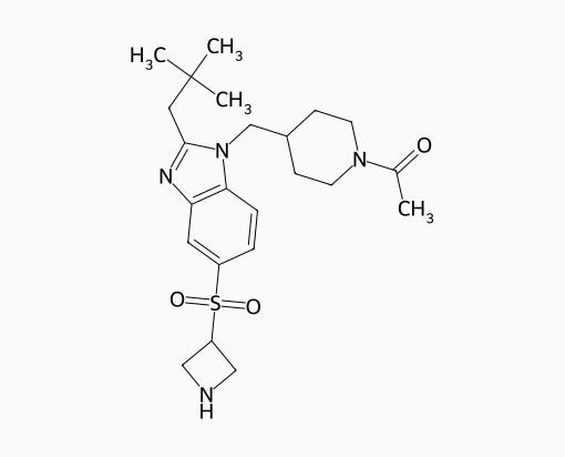 CC(=O)N1CCC(Cn2c(CC(C)(C)C)nc3cc(S(=O)(=O)C4CNC4)ccc32)CC1